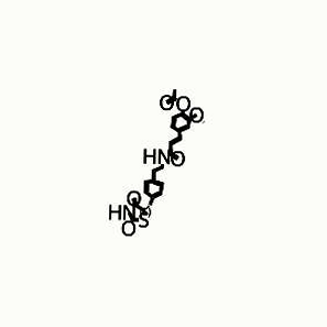 COc1cc(C=CC(=O)NCCc2ccc(C[C@@H]3SC(=O)NC3=O)cc2)ccc1OC(C)=O